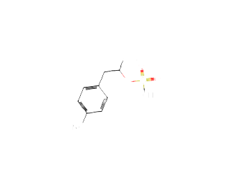 CC(Cc1ccc(C#N)cc1)OS(C)(=O)=O